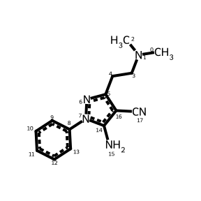 CN(C)CCc1nn(-c2ccccc2)c(N)c1C#N